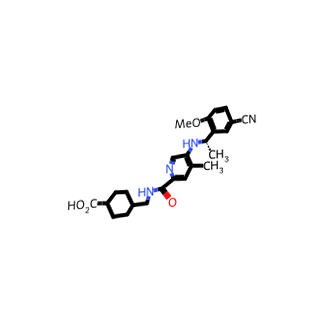 COc1ccc(C#N)cc1[C@H](C)Nc1cnc(C(=O)NCC2CCC(C(=O)O)CC2)cc1C